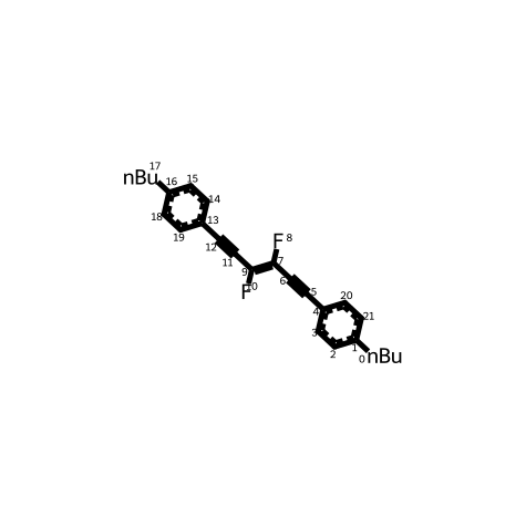 CCCCc1ccc(C#C/C(F)=C(\F)C#Cc2ccc(CCCC)cc2)cc1